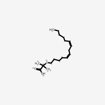 CCCCC/C=C\C/C=C\CCCCOC(C)(C)C(=O)O